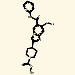 CC(C)Oc1cc2nc(C3CCN(C(=O)OC(C)(C)C)CC3)cn2cc1C(=O)Nc1ccccn1